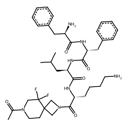 CC(=O)N1CCC2(CN(C(=O)[C@@H](CCCCN)NC(=O)[C@@H](CC(C)C)NC(=O)[C@@H](Cc3ccccc3)NC(=O)[C@H](N)Cc3ccccc3)C2)C(F)(F)C1